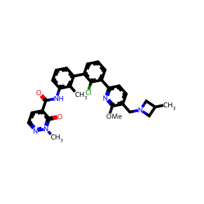 COc1nc(-c2cccc(-c3cccc(NC(=O)c4ccnn(C)c4=O)c3C)c2Cl)ccc1CN1CC(C)C1